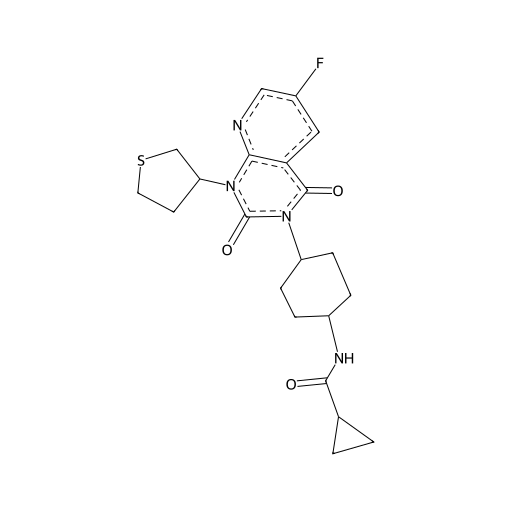 O=C(NC1CCC(n2c(=O)c3cc(F)cnc3n(C3CCSC3)c2=O)CC1)C1CC1